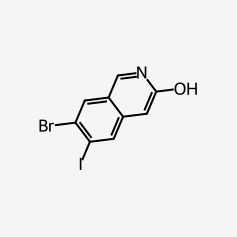 Oc1cc2cc(I)c(Br)cc2cn1